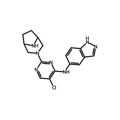 Clc1cnc(N2CC3CCC(C2)N3)nc1Nc1ccc2[nH]ncc2c1